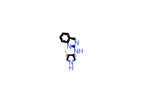 C[C@H]1CNC[C@@H]1Nc1ncc2ccccc2n1